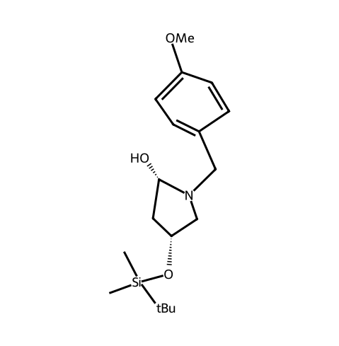 COc1ccc(CN2C[C@H](O[Si](C)(C)C(C)(C)C)C[C@@H]2O)cc1